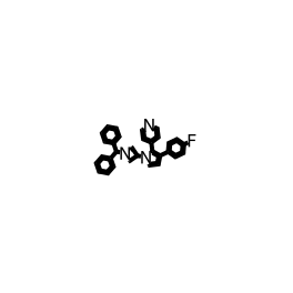 Fc1ccc(-c2ccn(C3CN(C(c4ccccc4)c4ccccc4)C3)c2-c2ccncc2)cc1